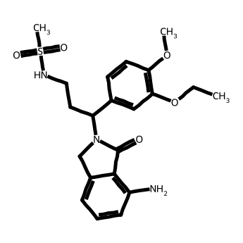 CCOc1cc(C(CCNS(C)(=O)=O)N2Cc3cccc(N)c3C2=O)ccc1OC